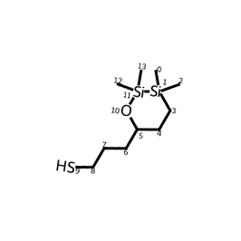 C[Si]1(C)CCC(CCCS)O[Si]1(C)C